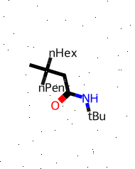 CCCCCCC(C)(CCCCC)CC(=O)NC(C)(C)C